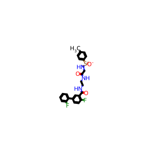 Cc1ccc([S+]([O-])NCC(=O)NCCNC(=O)c2cc(-c3ccccc3F)ccc2F)cc1